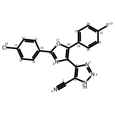 N#Cc1[nH]nnc1-c1nc(-c2ccc(Cl)cc2)oc1-c1ccc(F)cc1